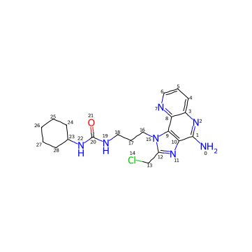 Nc1nc2cccnc2c2c1nc(CCl)n2CCCNC(=O)NC1CCCCC1